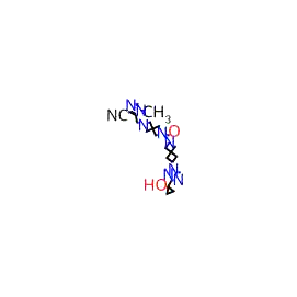 Cn1cnc(C#N)c1CN1CC2(C1)CN(C(=O)N1CC3(CC(n4cnc(C5(O)CC5)n4)C3)C1)C2